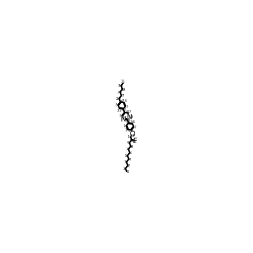 CCCCCCCCCCC(F)COc1ccc(-c2ncc(-c3ccc(CCCCCC)cc3)cn2)cc1